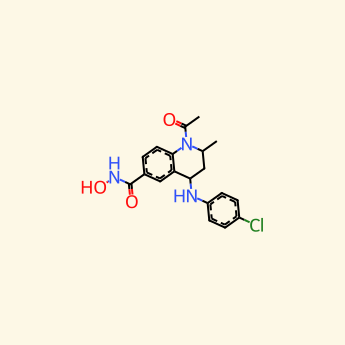 CC(=O)N1c2ccc(C(=O)NO)cc2C(Nc2ccc(Cl)cc2)CC1C